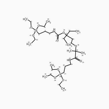 CCO[Si](CCCNC(=O)OC(CC)(CC)CCOC(C)(C)C(=O)NCCC[Si](OCC)(OCC)OCC)(OCC)OCC